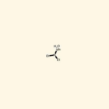 CCCN(CC)CC.O